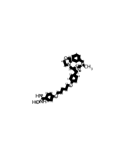 CN(Cc1ccccc1)c1nc(-c2ccc(OCCCCCOc3ccc(C(=N)NO)cc3)cc2)c(CN2CCOCC2)s1